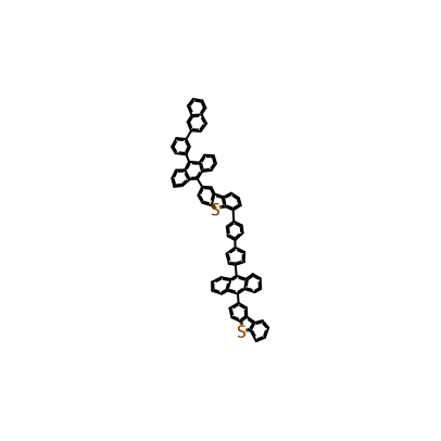 c1cc(-c2ccc3ccccc3c2)cc(-c2c3ccccc3c(-c3ccc4sc5c(-c6ccc(-c7ccc(-c8c9ccccc9c(-c9ccc%10sc%11ccccc%11c%10c9)c9ccccc89)cc7)cc6)cccc5c4c3)c3ccccc23)c1